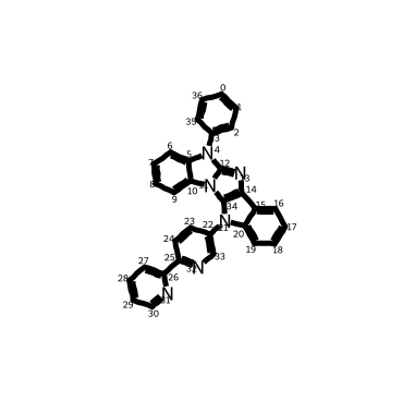 c1ccc(-n2c3ccccc3n3c2nc2c4ccccc4n(-c4ccc(-c5ccccn5)nc4)c23)cc1